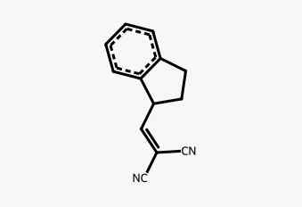 N#CC(C#N)=CC1CCc2ccccc21